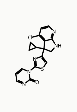 O=c1ncccn1-c1nc(C2(C3CC3)CNc3nccc(Cl)c32)cs1